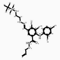 C=CCONC(=O)c1cc(C=NOCCO[Si](C)(C)C(C)(C)C)c(F)c(F)c1Nc1ccc(I)cc1F